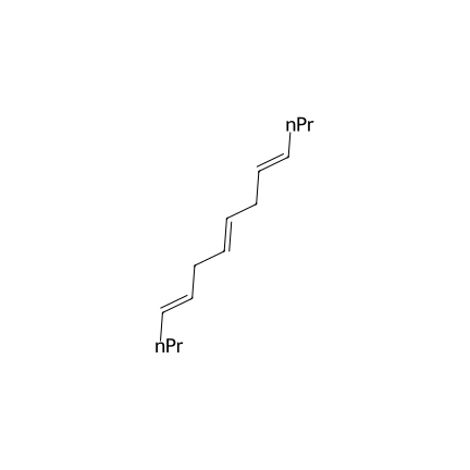 CCCC=CCC=CCC=CCCC